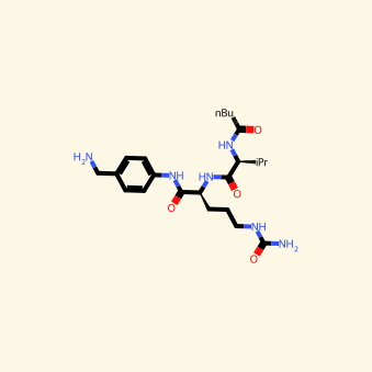 CCCCC(=O)N[C@H](C(=O)N[C@@H](CCCNC(N)=O)C(=O)Nc1ccc(CN)cc1)C(C)C